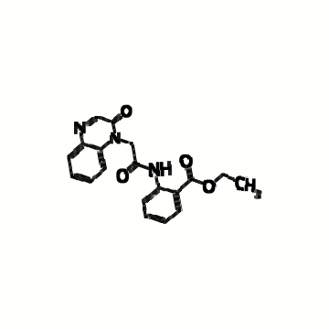 CCOC(=O)c1ccccc1NC(=O)Cn1c(=O)cnc2ccccc21